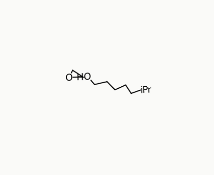 C1CO1.CC(C)CCCCCO